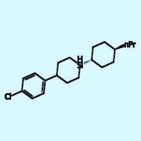 CCC[C@H]1CC[C@H]([SiH]2CCC(c3ccc(Cl)cc3)CC2)CC1